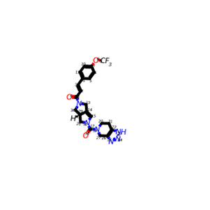 O=C(C=Cc1ccc(OC(F)(F)F)cc1)N1CC2=CN(C(=O)N3CCc4[nH]nnc4C3)C[C@@H]2C1